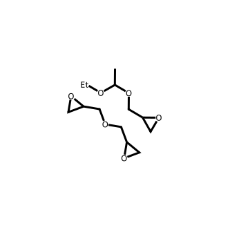 C(OCC1CO1)C1CO1.CCOC(C)OCC1CO1